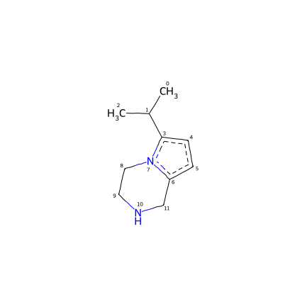 CC(C)c1ccc2n1CCNC2